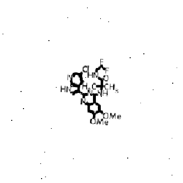 COc1cc2nc(-c3c[nH]c4ncc(Cl)cc34)nc(NC(C)(C)C(=O)NCC(F)F)c2cc1OC